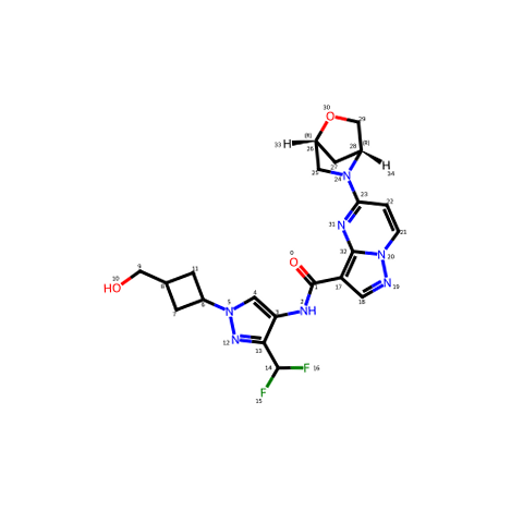 O=C(Nc1cn(C2CC(CO)C2)nc1C(F)F)c1cnn2ccc(N3C[C@H]4C[C@@H]3CO4)nc12